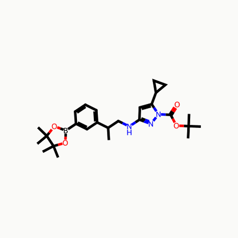 CC(CNc1cc(C2CC2)n(C(=O)OC(C)(C)C)n1)c1cccc(B2OC(C)(C)C(C)(C)O2)c1